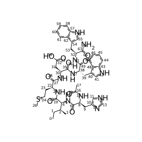 CC[C@H](C)[C@H](NC(=O)[C@H](Cc1c[nH]cn1)NC(C)=O)C(=O)N[C@@H](CCSC)C(=O)N[C@@H](CC(=O)O)C(=O)N[C@@H](Cc1c[nH]c2ccccc12)C(=O)N[C@@H](Cc1c[nH]c2ccccc12)C(N)=O